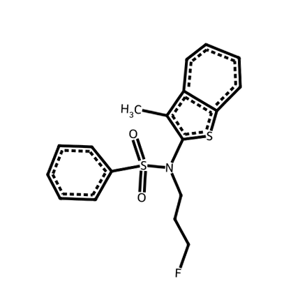 Cc1c(N(CCCF)S(=O)(=O)c2ccccc2)sc2ccccc12